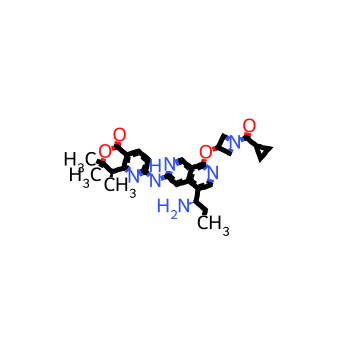 CC[C@H](N)c1cnc(OC2CN(C(=O)C3CC3)C2)c2cnc(Nc3ccc4c(n3)[C@@H](C)C(C)(C)OC4=O)cc12